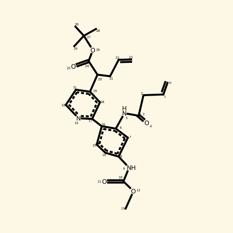 C=CCC(=O)Nc1cc(NC(=O)OC)ccc1-c1cc(C(CC=C)C(=O)OC(C)(C)C)ccn1